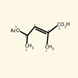 CC(=O)OC(C)C=C(C)C(=O)O